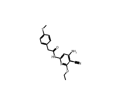 CCOc1nc(NC(=O)Cc2ccc(SC)cc2)cc(N)c1C#N